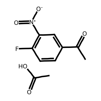 CC(=O)O.CC(=O)c1ccc(F)c([N+](=O)[O-])c1